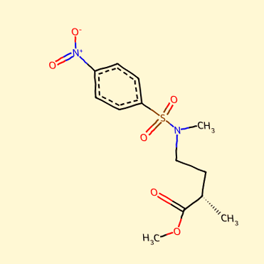 COC(=O)[C@@H](C)CCN(C)S(=O)(=O)c1ccc([N+](=O)[O-])cc1